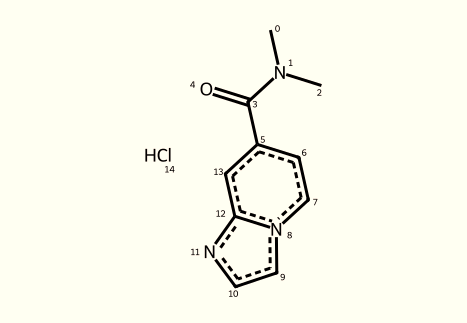 CN(C)C(=O)c1ccn2ccnc2c1.Cl